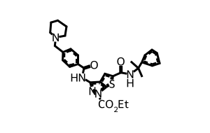 CCOC(=O)n1nc(NC(=O)c2ccc(CN3CCCCC3)cc2)c2cc(C(=O)NC(C)(C)c3ccccc3)sc21